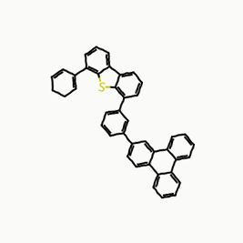 C1=CC(c2cccc3c2sc2c(-c4cccc(-c5ccc6c7ccccc7c7ccccc7c6c5)c4)cccc23)=CCC1